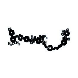 CC1(C)CCC(c2ccc(Cl)cc2)=C(CN2CCN(c3ccc(C(=O)NS(=O)(=O)c4ccc(NCCCN5CCN(CCCC#Cc6ccc7c(c6)CN(C6CCC(=O)NC6=O)C7=O)CC5)c(S(=O)(=O)C(F)(F)F)c4)cc3)CC2)C1